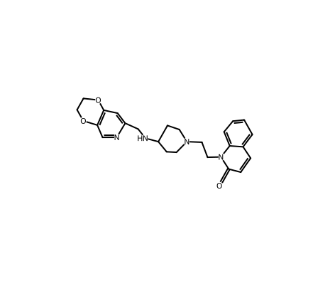 O=c1ccc2ccccc2n1CCN1CCC(NCc2cc3c(cn2)OCCO3)CC1